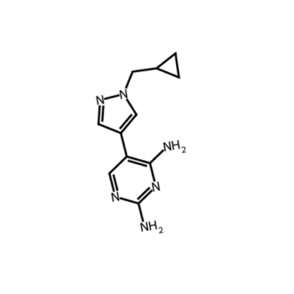 Nc1ncc(-c2cnn(CC3CC3)c2)c(N)n1